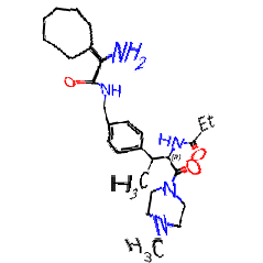 CCC(=O)N[C@@H](C(=O)N1CCN(C)CC1)C(C)c1ccc(CNC(=O)C(N)C2CCCCCC2)cc1